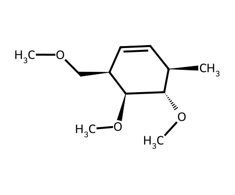 COC[C@H]1C=C[C@@H](C)[C@H](OC)[C@H]1OC